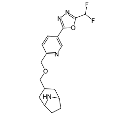 FC(F)c1nnc(-c2ccc(COCC3CC4CCC(C3)N4)nc2)o1